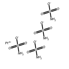 NS(=O)(=O)[O-].NS(=O)(=O)[O-].NS(=O)(=O)[O-].NS(=O)(=O)[O-].[Pt+4]